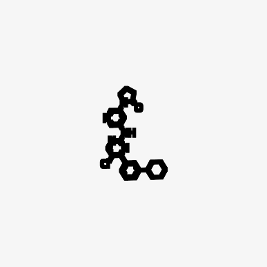 O=C1CCCN1c1cncc(Nc2ncc(Cl)c(-c3cccc(C4CCCCC4)c3)n2)c1